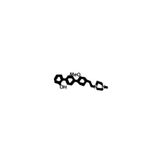 COc1cc(CCN2CCN(C)CC2)ccc1-c1ccc(-c2ccccc2O)cc1